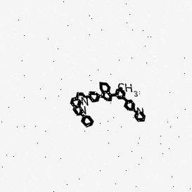 Cc1cc(-c2ccc(-c3ccccn3)cc2)cc(-c2ccc(-c3ccc(-c4ccc5ccc6ccc(-c7ccccc7)nc6c5n4)cc3)c3c2CCCC3)c1